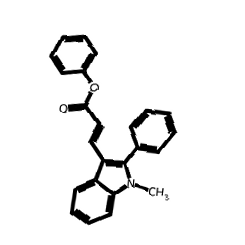 Cn1c(-c2ccccc2)c(C=CC(=O)Oc2ccccc2)c2ccccc21